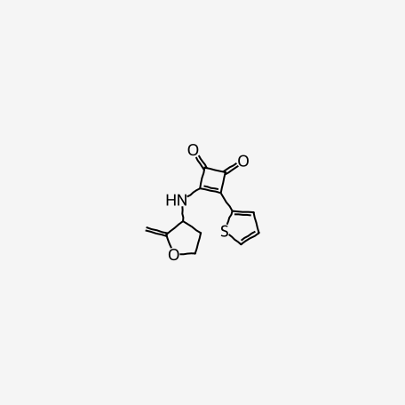 C=C1OCCC1Nc1c(-c2cccs2)c(=O)c1=O